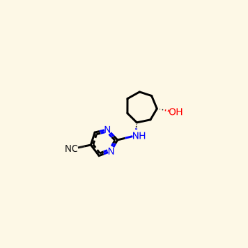 N#Cc1cnc(N[C@@H]2CCCC[C@H](O)C2)nc1